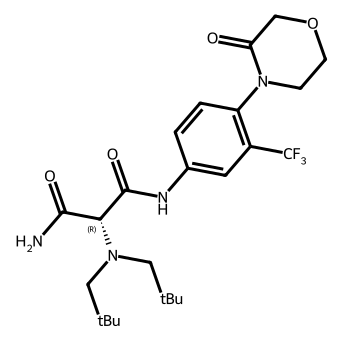 CC(C)(C)CN(CC(C)(C)C)[C@H](C(N)=O)C(=O)Nc1ccc(N2CCOCC2=O)c(C(F)(F)F)c1